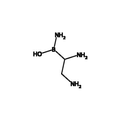 NCC(N)B(N)O